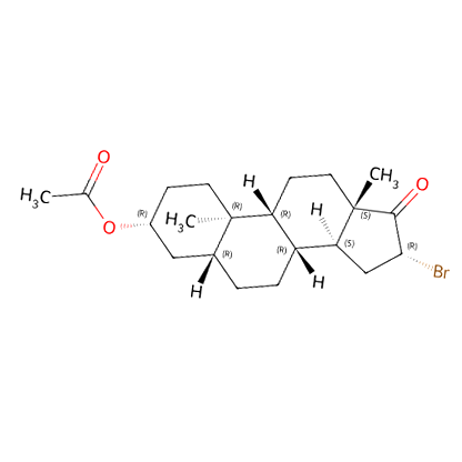 CC(=O)O[C@@H]1CC[C@]2(C)[C@H](CC[C@@H]3[C@H]2CC[C@]2(C)C(=O)[C@H](Br)C[C@@H]32)C1